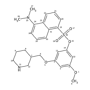 COc1cc(OCC2CCCNC2)cc(OS(=O)(=O)c2cccc3c(N(C)C)cccc23)c1